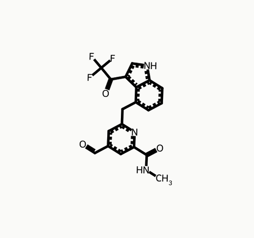 CNC(=O)c1cc(C=O)cc(Cc2cccc3[nH]cc(C(=O)C(F)(F)F)c23)n1